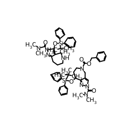 CN(C)C(=O)n1cc2c(n1)C(O[Si](c1ccccc1)(c1ccccc1)C(C)(C)C)CCN(C(=O)OCc1ccccc1)C2.CN(C)C(=O)n1nc2c(c1O[Si](c1ccccc1)(c1ccccc1)C(C)(C)C)CNCCC2